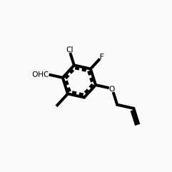 C=CCOc1cc(C)c(C=O)c(Cl)c1F